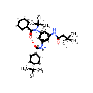 CC(C)(C)CC(=O)Nc1cc(NC(=O)[C@H]2CC[C@@H](C(C)(C)C)CC2)cc(N(C(=O)C2CCCCC2)C(C)(C)C)c1